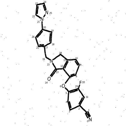 N#Cc1ccc(Oc2cccc3c2C(=O)N(Cc2ccc(-n4cccn4)cc2)C3)c(F)c1